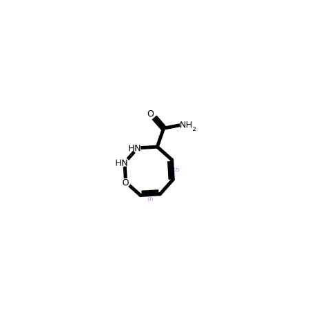 NC(=O)C1/C=C\C=C/ONN1